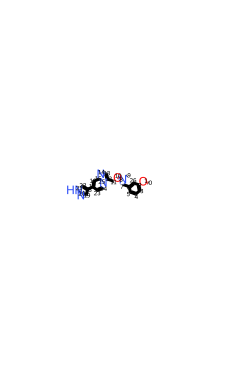 COc1cccc(CN(C)OCc2cnc3cc(-c4cn[nH]c4)ccn23)c1